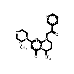 C[C@@H]1COCCN1c1cc(=O)n2c(n1)N(CC(=O)c1cccnc1)CCC2C(F)(F)F